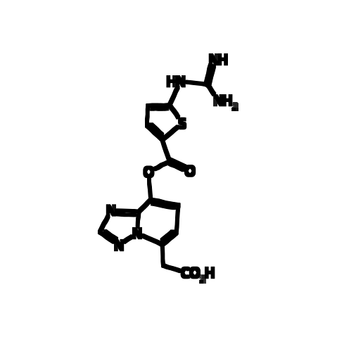 N=C(N)Nc1ccc(C(=O)Oc2ccc(CC(=O)O)n3ncnc23)s1